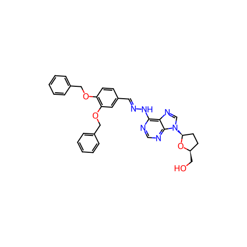 OC[C@@H]1CC[C@H](n2cnc3c(N/N=C/c4ccc(OCc5ccccc5)c(OCc5ccccc5)c4)ncnc32)O1